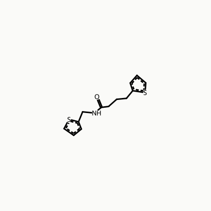 O=C(CCCc1cccs1)NCc1cccs1